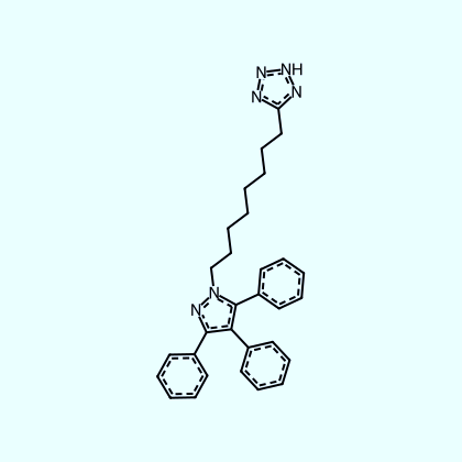 c1ccc(-c2nn(CCCCCCCCc3nn[nH]n3)c(-c3ccccc3)c2-c2ccccc2)cc1